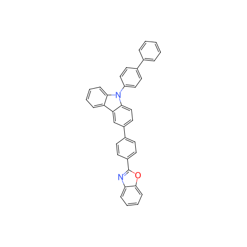 c1ccc(-c2ccc(-n3c4ccccc4c4cc(-c5ccc(-c6nc7ccccc7o6)cc5)ccc43)cc2)cc1